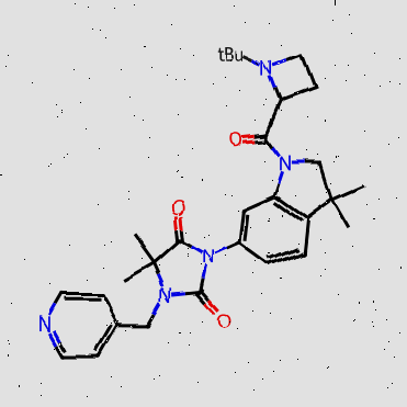 CC1(C)CN(C(=O)C2CCN2C(C)(C)C)c2cc(N3C(=O)N(Cc4ccncc4)C(C)(C)C3=O)ccc21